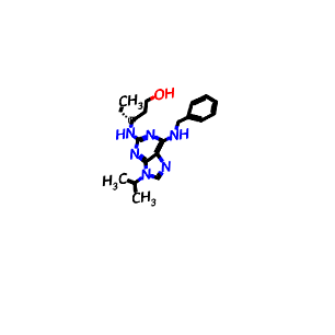 CC[C@H](CCO)Nc1nc(NCc2ccccc2)c2ncn(C(C)C)c2n1